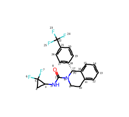 O=C(NC1CC1(F)F)N1CCc2ccccc2[C@H]1c1ccc(C(F)(F)F)cc1